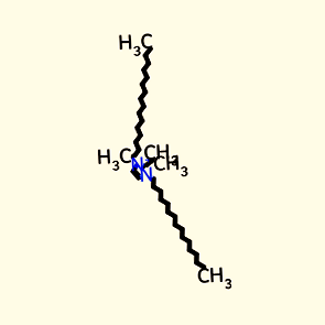 CCCCCCCCCCCCCCCCC(C)[n+]1ccn(CCCCCCCCCCCCCCCC)c1C(C)C